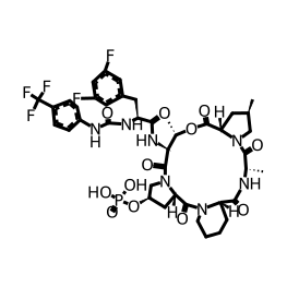 C[C@@H]1C[C@H]2C(=O)O[C@@H](C)[C@H](NC(=O)[C@H](Cc3cc(F)cc(F)c3)NC(=O)Nc3ccc(C(F)(F)F)cc3)C(=O)N3C[C@H](OP(=O)(O)O)C[C@H]3C(=O)N3CCCC[C@H]3C(=O)N[C@@H](C)C(=O)N2C1